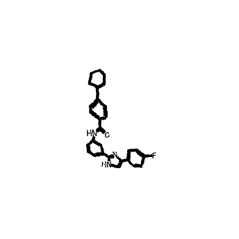 O=C(Nc1cccc(-c2nc(-c3ccc(F)cc3)c[nH]2)c1)c1ccc(C2CCCCC2)cc1